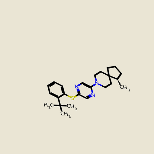 C[C@@H]1CCCC12CCN(c1cnc(Sc3ccccc3C(C)(C)C)cn1)CC2